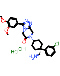 COc1ccc(-c2nnc3n2CC(=O)N([C@H]2CC[C@](CN)(c4cccc(Cl)c4)CC2)C3)cc1OC.Cl.Cl